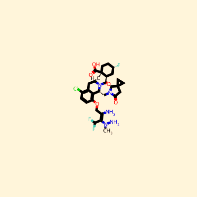 CN(N)/C(=C(\N)COc1ccc(Cl)c2c1[C@@H](CN1CC3(CC3)CC1=O)N(C(=O)[C@@H]1C[C@@H](F)CC[C@]1(C)C(=O)O)CC2)C(F)F